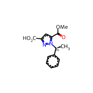 COC(=O)c1cc(C(=O)O)nn1[C@@H](C)c1ccccc1